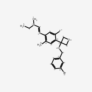 CCN(C)C=Nc1cc(F)c(C2(OCc3cccc(Br)c3)COC2)cc1C